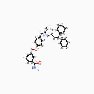 CC(Cc1ccc(OCc2cccc(C(N)=O)c2)cc1)NCCC(c1ccccc1)c1ccccc1